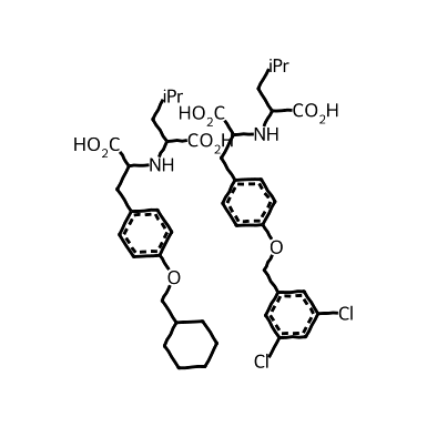 CC(C)CC(NC(Cc1ccc(OCC2CCCCC2)cc1)C(=O)O)C(=O)O.CC(C)CC(NC(Cc1ccc(OCc2cc(Cl)cc(Cl)c2)cc1)C(=O)O)C(=O)O